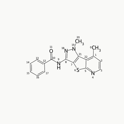 Cc1ccnc2sc3c(NC(=O)c4ccccc4)nn(C)c3c12